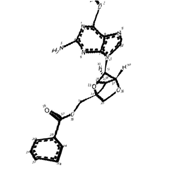 CCOc1nc(N)nc2c1ncn2[C@@H]1O[C@@]2(COC(=O)c3ccccc3)CO[C@@H]1[C@@H]2C